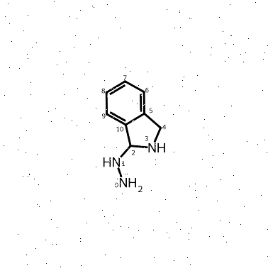 NNC1NCc2ccccc21